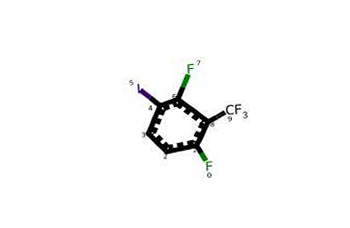 Fc1ccc(I)c(F)c1C(F)(F)F